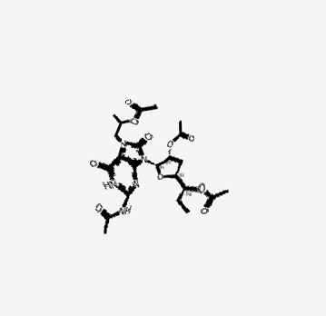 CC[C@H](OC(C)=O)[C@@H]1C[C@@H](OC(C)=O)[C@H](n2c(=O)n(CC(C)OC(C)=O)c3c(=O)[nH]c(NC(C)=O)nc32)O1